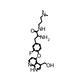 CN(C)CCCNC(=O)[C@@H](N)Cc1ccc(Oc2ccnc3[nH]cc(CO)c23)c(F)c1